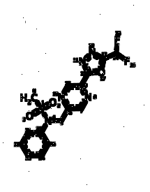 CS(=O)(=O)N(Cc1cnc(-c2nnc(C(F)F)o2)cn1)c1ccccc1